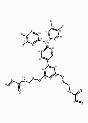 C=CC(=O)OCCOc1cc(OCCOC(=O)C=C)cc(-c2ccc(N(c3ccc(C)c(C)c3)c3ccc(C)c(C)c3)cc2)c1